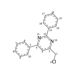 ClCc1cc(-c2ccccc2)nc(-c2ccccc2)n1